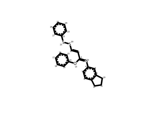 C(=C\C(=N\c1ccc2c(c1)CCC2)Oc1ccccc1)/SSc1ccccc1